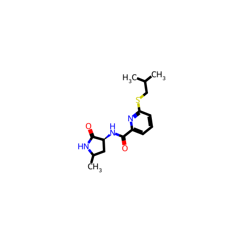 CC(C)CSc1cccc(C(=O)N[C@H]2CC(C)NC2=O)n1